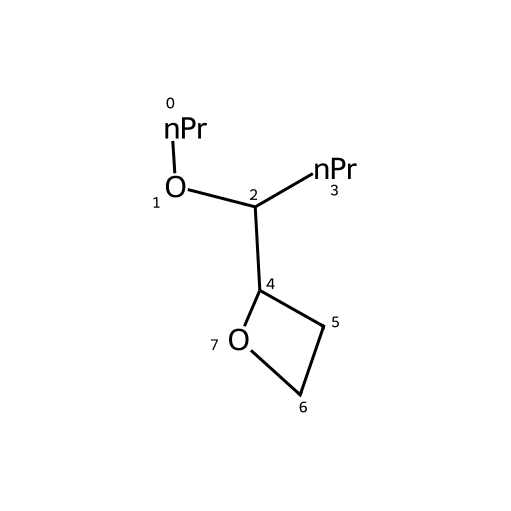 [CH2]CCOC(CCC)C1CCO1